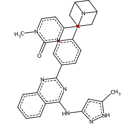 Cc1cc(Nc2nc(-c3ccc(N4CC5CC(C4)N5Cc4ccn(C)c(=O)c4)nc3)nc3ccccc23)n[nH]1